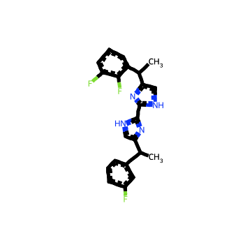 CC(c1cccc(F)c1)c1c[nH]c(-c2nc(C(C)c3cccc(F)c3F)c[nH]2)n1